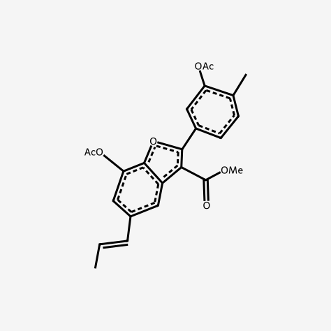 C/C=C/c1cc(OC(C)=O)c2oc(-c3ccc(C)c(OC(C)=O)c3)c(C(=O)OC)c2c1